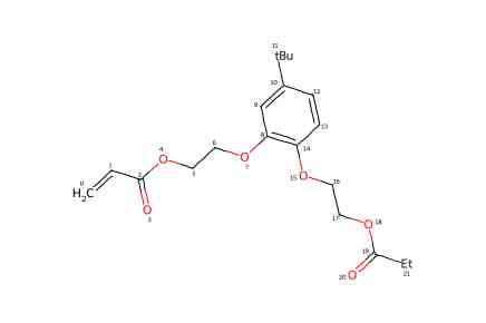 C=CC(=O)OCCOc1cc(C(C)(C)C)ccc1OCCOC(=O)CC